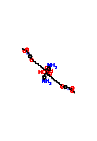 CCOC(=O)/C=C/c1ccc(OCCCCCCCCCCC(=O)CC(Cc2ccc(N)cc2)(Cc2ccc(N)cc2)C(O)(O)C(=O)CCCCCCCCCCOc2ccc(/C=C/C(=O)OCC)cc2)cc1